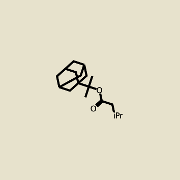 CC(C)CC(=O)OC(C)(C)C12CC3CC(CC(C3)C1)C2